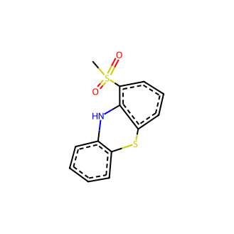 CS(=O)(=O)c1cccc2c1Nc1ccccc1S2